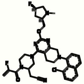 C=C(F)C(=O)N1CCN(c2nc(OC[C@H]3C[C@@H](F)CN3C)nc3c2CCN(c2cccc4cccc(Cl)c24)C3)CC1CC#N